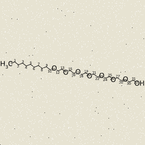 CCCCCCCCCCCOCCOCCOCCOCCOCCOCCOCCO